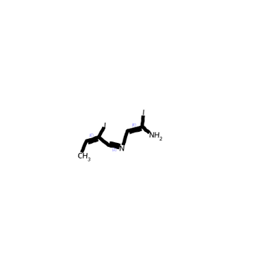 C\C=C(I)/C=N\C=C(/N)I